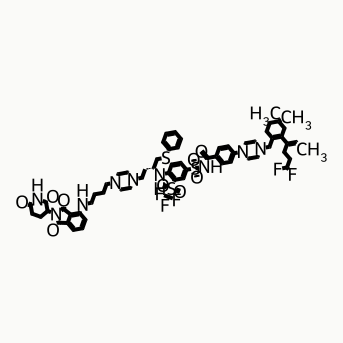 C/C=C(\CCC(F)F)C1=C(CN2CCN(c3ccc(C(=O)NS(=O)(=O)c4ccc(N[C@H](CCN5CCN(CCCCNc6cccc7c6C(=O)N(C6CCC(=O)NC6=O)C7=O)CC5)CSc5ccccc5)c(S(=O)(=O)C(F)(F)F)c4)cc3)CC2)CCC(C)(C)C1